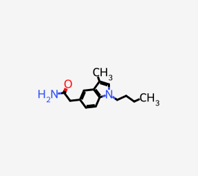 CCCCn1cc(C)c2cc(CC(N)=O)ccc21